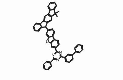 CC1(C)c2ccccc2-c2cc3c(cc21)C(c1ccc2c(c1)oc1cc(-c4nc(-c5ccccc5)nc(-c5cccc(-c6ccccc6)c5)n4)ccc12)c1ccccc1-3